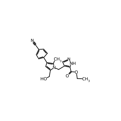 CCOC(=O)c1[nH]ncc1Cn1c(CO)cc(-c2ccc(C#N)cc2)c1C